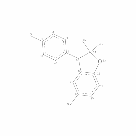 Cc1ccc(C2c3cc(C)ccc3OC2(C)C)cc1